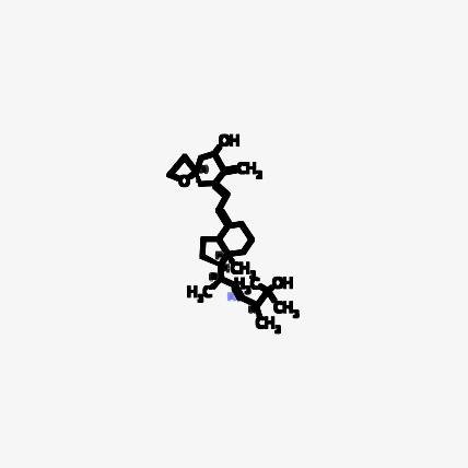 C=C1C(=CC=C2CCC[C@@]3(C)C2CC[C@@H]3[C@H](C)/C=C/[C@H](C)C(C)(C)O)C[C@]2(CCO2)CC1O